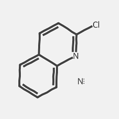 Clc1ccc2ccccc2n1.[N]